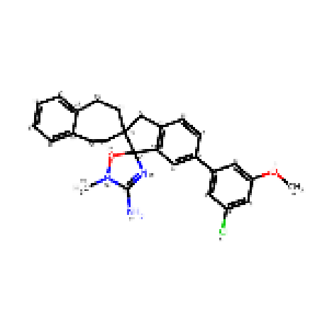 COc1cc(Cl)cc(-c2ccc3c(c2)C2(N=C(N)N(C)O2)C2(CCc4ccccc4CC2)C3)c1